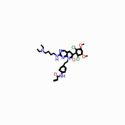 C=CC(=O)Nc1ccc(CCn2c(=O)c(-c3c(Cl)c(OC)cc(OC)c3Cl)cc3cnc(NCCCCN(CC)CC)nc32)cc1